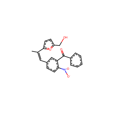 CC(=Cc1ccc([N+](=O)[O-])c(C(=O)c2ccccc2)c1)c1ccc(CO)o1